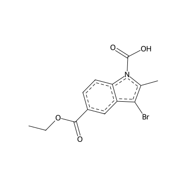 CCOC(=O)c1ccc2c(c1)c(Br)c(C)n2C(=O)O